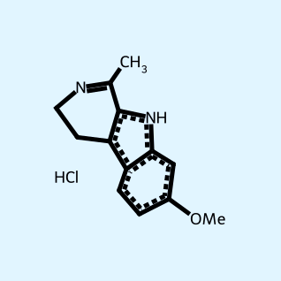 COc1ccc2c3c([nH]c2c1)C(C)=NCC3.Cl